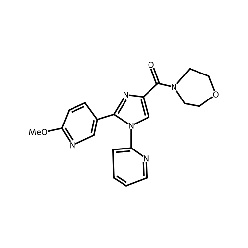 COc1ccc(-c2nc(C(=O)N3CCOCC3)cn2-c2ccccn2)cn1